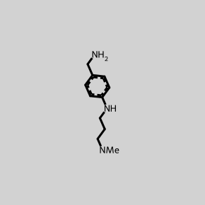 CNCCCNc1ccc(CN)cc1